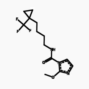 COc1nccn1C(=O)NCCCCC1(C(F)(F)F)CC1